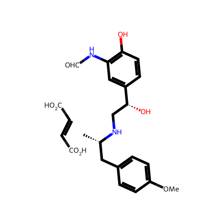 COc1ccc(C[C@H](C)NC[C@@H](O)c2ccc(O)c(NC=O)c2)cc1.O=C(O)/C=C/C(=O)O